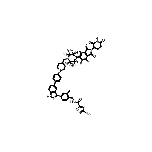 [2H]C1([2H])N(CC2CCN(c3ccc(-c4ccc5[nH]nc(-c6ccc(CNC(=O)c7nc(C(C)(C)C)no7)c(C)c6)c5c4)cc3)CC2)C([2H])([2H])C([2H])([2H])N(c2c(F)c(F)c3c(c2F)C(=O)N(C2CCC(=O)NC2=O)C3=O)C1([2H])[2H]